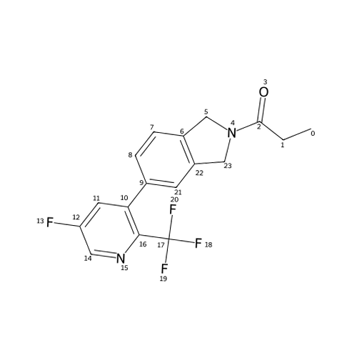 CCC(=O)N1Cc2ccc(-c3cc(F)cnc3C(F)(F)F)cc2C1